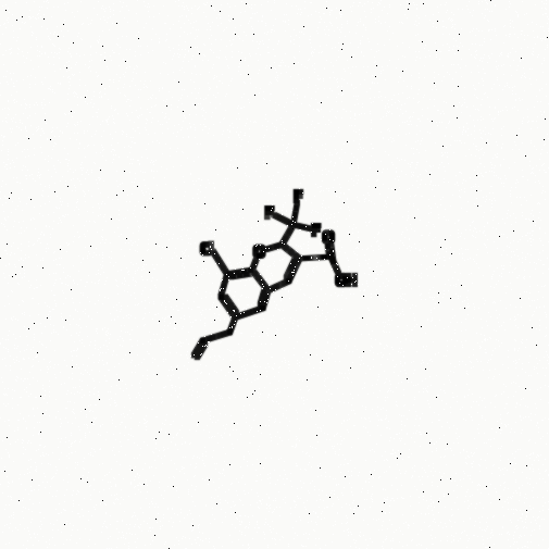 C=CCc1cc(Cl)c2c(c1)C=C(C(=O)O)C(C(F)(F)F)O2